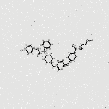 COCCNC(=O)c1ccc(Oc2ccc(CN3CCC(N(C(=O)Nc4ccc(F)cc4)c4ccccc4)CC3)cn2)cc1